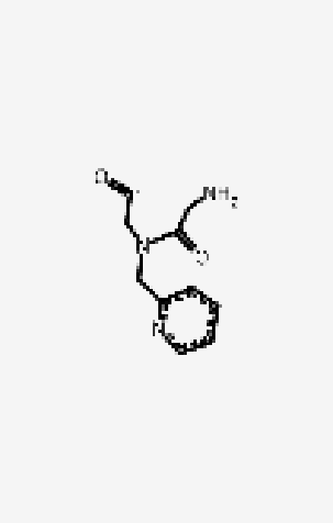 NCC(=O)N(C[C]=O)Cc1ccccn1